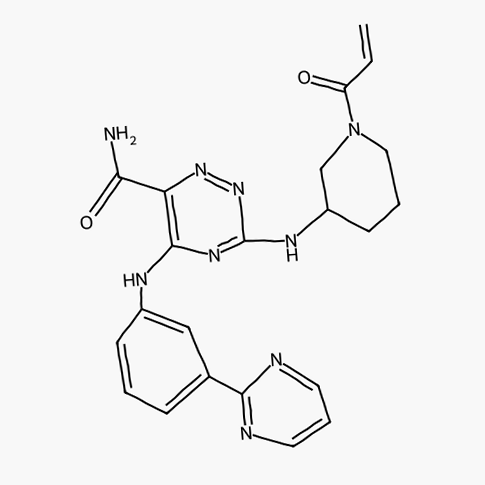 C=CC(=O)N1CCCC(Nc2nnc(C(N)=O)c(Nc3cccc(-c4ncccn4)c3)n2)C1